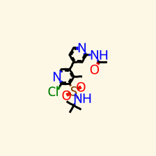 CC(=O)Nc1cc(-c2cnc(Cl)c(S(=O)(=O)NC(C)(C)C)c2C)ccn1